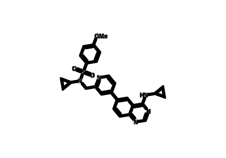 COc1ccc(S(=O)(=O)N(Cc2cc(-c3ccc4ncnc(NC5CC5)c4c3)ccn2)C2CC2)cc1